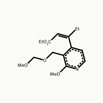 CCOC(=O)/C=C(/CC)c1ccnc(OC)c1COCOC